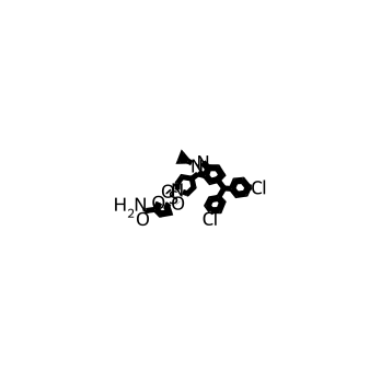 NC(=O)c1ccc(S(=O)(=O)N2CCC(c3c4cc(C(c5ccc(Cl)cc5)c5ccc(Cl)cc5)ccc4nn3C3CC3)CC2)o1